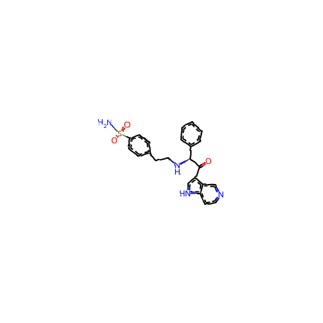 NS(=O)(=O)c1ccc(CCN[C@H](C(=O)c2c[nH]c3ccncc23)c2ccccc2)cc1